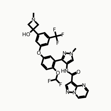 CN1CC(O)(c2cc(Oc3ccc(OC(F)F)c(-c4nn(C)cc4NC(=O)c4cnn5cccnc45)c3)cc(C(F)(F)F)c2)C1